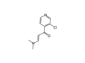 CN(C)C=CC(=O)c1ccncc1Cl